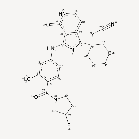 Cc1cc(Nc2nn(C3(CC#N)CCCOC3)c3cc[nH]c(=O)c23)ccc1C(=O)N1CCC(F)C1